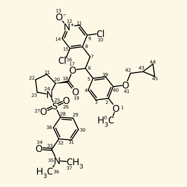 COc1ccc(C(Cc2c(Cl)c[n+]([O-])cc2Cl)OC(=O)[C@@H]2CCCN2S(=O)(=O)c2cccc(C(=O)N(C)C)c2)cc1OCC1CC1